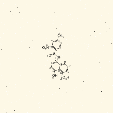 Cc1ccc(C(=O)Nc2ccc(O)c3c(S(=O)(=O)O)cccc23)c([N+](=O)[O-])c1